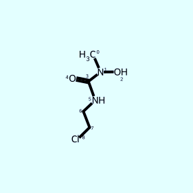 CN(O)C(=O)NCCCl